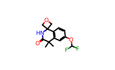 CC1(C)C(=O)NC2(COC2)c2ccc(OC(F)F)cc21